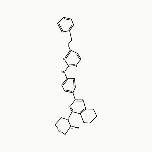 C[C@H]1COCCN1c1nc(-c2ccc(Nc3nccc(OCc4ccccc4)n3)cc2)nc2c1CCCC2